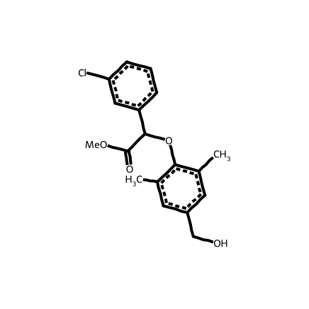 COC(=O)C(Oc1c(C)cc(CO)cc1C)c1cccc(Cl)c1